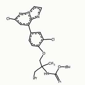 CC(C)CC(C)(COc1ccc(-c2cc(Cl)nn3ccnc23)cc1Cl)NC(=O)OC(C)(C)C